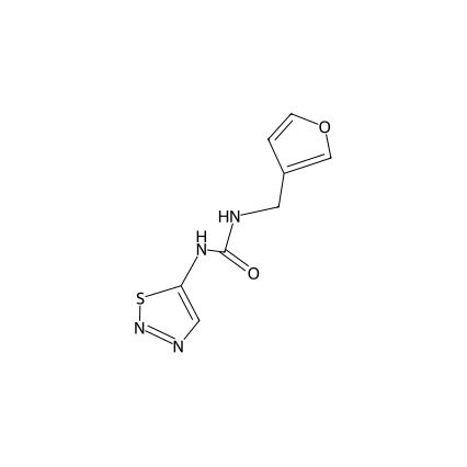 O=C(NCc1ccoc1)Nc1cnns1